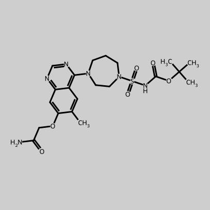 Cc1cc2c(N3CCCN(S(=O)(=O)NC(=O)OC(C)(C)C)CC3)ncnc2cc1OCC(N)=O